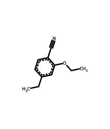 CCOc1cc(CC)ccc1C#N